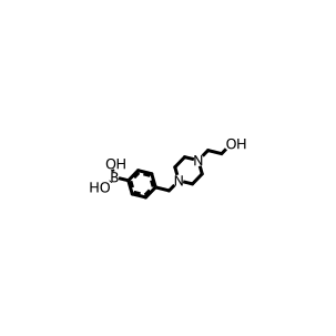 OCCN1CCN(Cc2ccc(B(O)O)cc2)CC1